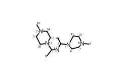 CC([N]C(C)N1CCN(C)CC1)N1CCN(C)CC1